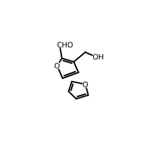 O=Cc1occc1CO.c1ccoc1